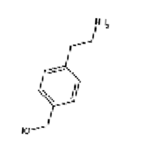 NCCc1ccc(CO)cc1